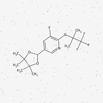 CC(C)(Oc1ncc(C2OC(C)(C)C(C)(C)O2)cc1F)C(F)(F)F